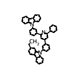 C=Cc1ccc2c3ccccc3n(-c3cccc(-c4cc(-c5ccccc5)nc(-c5cccc(-n6c7ccccc7c7ccccc76)c5)c4)c3)c2c1